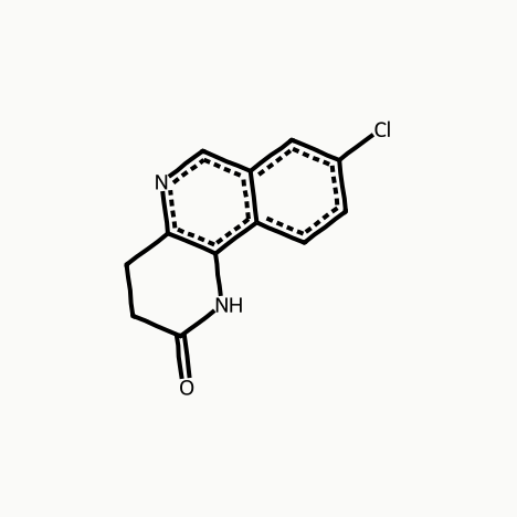 O=C1CCc2ncc3cc(Cl)ccc3c2N1